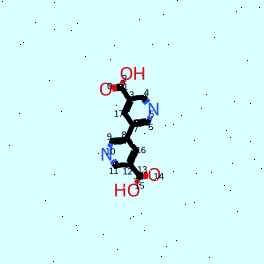 O=C(O)c1cncc(-c2cncc(C(=O)O)c2)c1